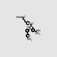 CNC(=O)CCCC1CCN(C(=O)[C@H](Cc2cccc(C(=N)N)c2)NSc2cccc(-c3ccc(N)nc3)c2)CC1